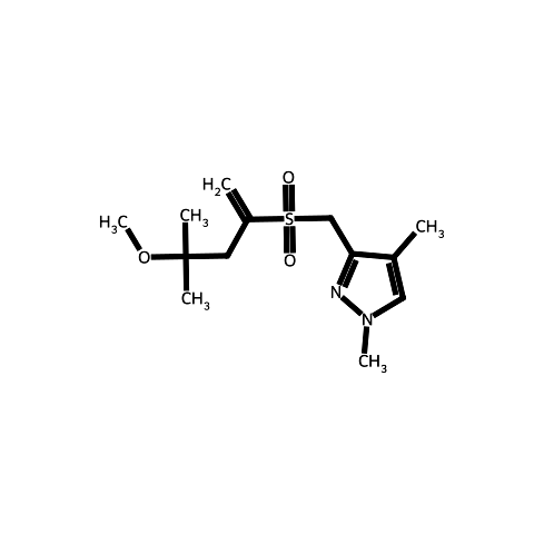 C=C(CC(C)(C)OC)S(=O)(=O)Cc1nn(C)cc1C